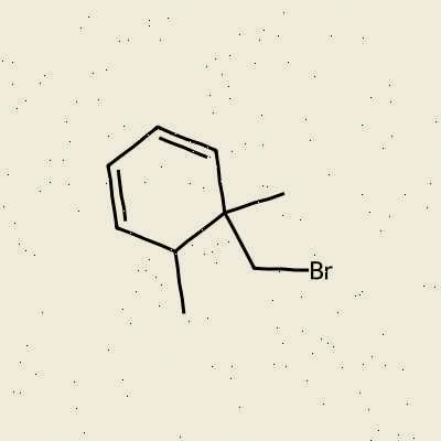 CC1C=CC=CC1(C)CBr